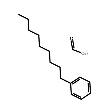 CCCCCCCCCc1ccccc1.O=CO